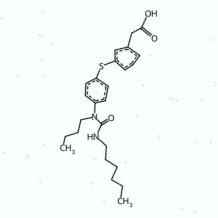 CCCCCCNC(=O)N(CCCC)c1ccc(Sc2cccc(CC(=O)O)c2)cc1